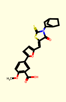 COc1ccc(-c2ccc(C=C3SC(=S)N(C4CC5CCC4C5)C3=O)o2)cc1C(=O)O